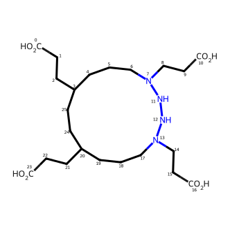 O=C(O)CCC1CCCN(CCC(=O)O)NNN(CCC(=O)O)CCCC(CCC(=O)O)CC1